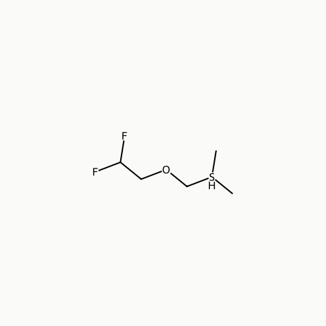 C[SH](C)COCC(F)F